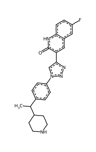 CC(c1ccc(-n2cc(-c3cc4cc(F)ccc4[nH]c3=O)nn2)cc1)C1CCNCC1